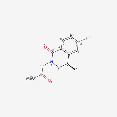 COC(=O)CN1C[C@H](C)c2cc(I)ccc2C1=O